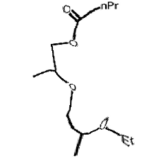 CCCC(=O)OCC(C)OCC(C)OCC